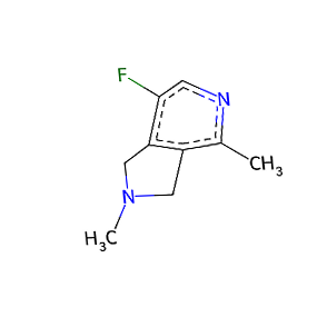 Cc1ncc(F)c2c1CN(C)C2